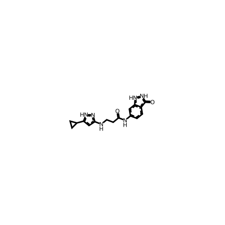 O=C(CCNc1cc(C2CC2)[nH]n1)Nc1ccc2c(=O)[nH][nH]c2c1